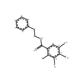 Cc1c(C(=O)OCCc2ccccc2)cc(F)c(F)c1F